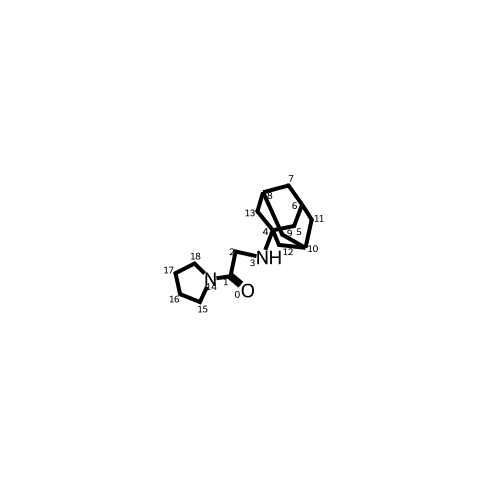 O=C(CNC12CC3CC(CC(C3)C1)C2)N1CCCC1